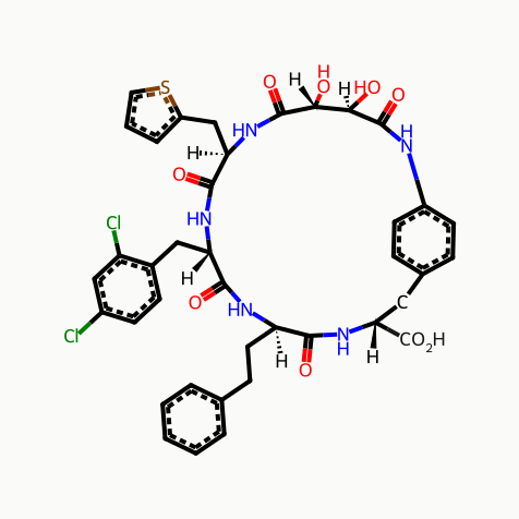 O=C1N[C@H](CCc2ccccc2)C(=O)N[C@@H](C(=O)O)Cc2ccc(cc2)NC(=O)[C@H](O)[C@@H](O)C(=O)N[C@H](Cc2cccs2)C(=O)N[C@H]1Cc1ccc(Cl)cc1Cl